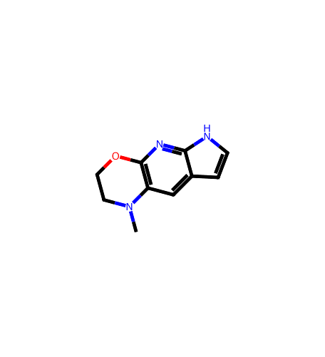 CN1CCOc2nc3[nH]ccc3cc21